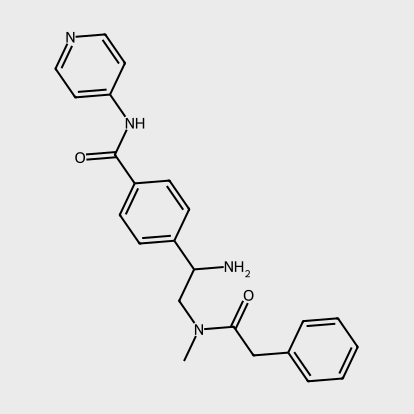 CN(CC(N)c1ccc(C(=O)Nc2ccncc2)cc1)C(=O)Cc1ccccc1